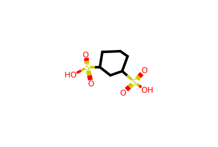 O=S(=O)(O)C1CCCC(S(=O)(=O)O)C1